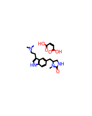 CN(C)CCc1c[nH]c2ccc(CC3CNC(=O)N3C)cc12.O=C(O)/C=C\C(=O)O